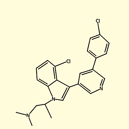 CC(CN(C)C)n1cc(-c2cncc(-c3ccc(Cl)cc3)c2)c2c(Cl)cccc21